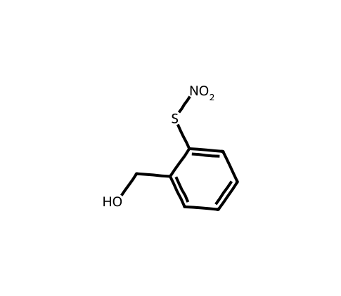 O=[N+]([O-])Sc1ccccc1CO